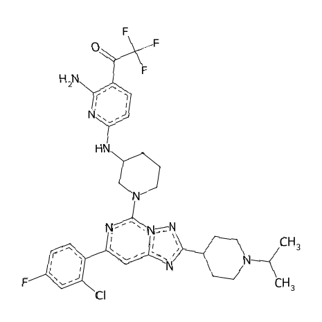 CC(C)N1CCC(c2nc3cc(-c4ccc(F)cc4Cl)nc(N4CCCC(Nc5ccc(C(=O)C(F)(F)F)c(N)n5)C4)n3n2)CC1